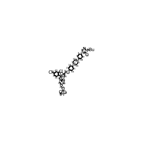 CCC(C)n1ncn(-c2ccc(N3CCN(c4ccc(OCC5COC(Cn6c[n+](COC(=O)OC(C)C)cn6)(c6ccc(Cl)cc6Cl)O5)cc4)CC3)cc2)c1=O